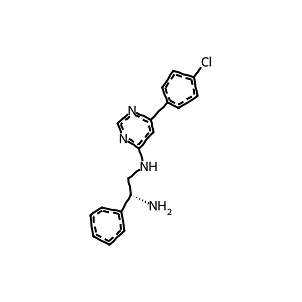 N[C@@H](CNc1cc(-c2ccc(Cl)cc2)ncn1)c1ccccc1